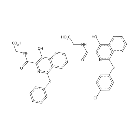 O=C(O)CNC(=O)c1nc(Sc2ccc(Cl)cc2)c2ccccc2c1O.O=C(O)CNC(=O)c1nc(Sc2ccccc2)c2ccccc2c1O